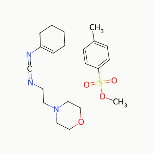 C(=NCCN1CCOCC1)=NC1=CCCCC1.COS(=O)(=O)c1ccc(C)cc1